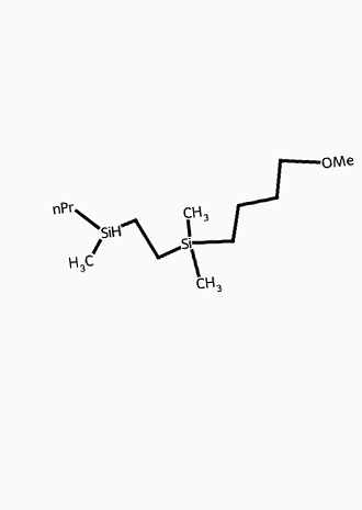 CCC[SiH](C)CC[Si](C)(C)CCCCOC